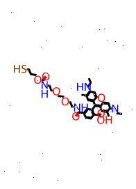 CC/N=c1/cc2oc3cc(NCC)c(C)cc3c(-c3cc(C(=O)NCCOCCOCCNC(=O)OCCCS)ccc3C(=O)O)c-2cc1C